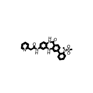 CN(c1ccccc1-c1ccc2c(c1)Nc1cc(NC(=O)Cc3ccccn3)ccc1NC2=O)S(C)(=O)=O